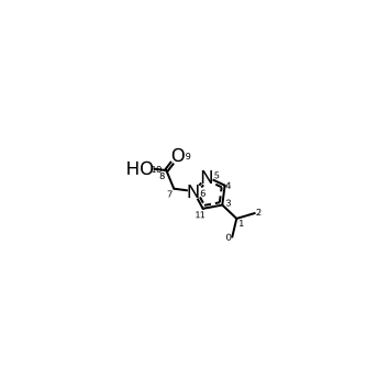 CC(C)c1cnn(CC(=O)O)c1